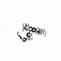 BC1(B)Oc2cc3c(cc2O1)[C@@H](c1ccc(N[C@H]2CCN(CCCF)C2)cn1)N(CC(F)(F)CO)[C@H](C)C3